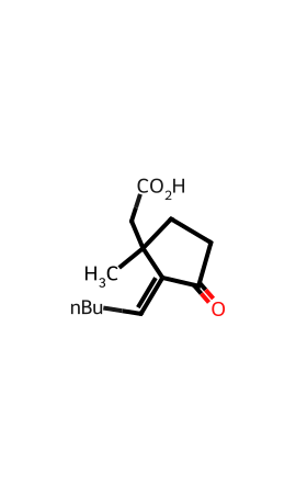 CCCCC=C1C(=O)CCC1(C)CC(=O)O